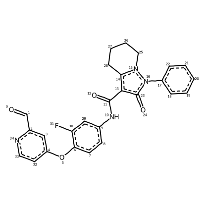 O=Cc1cc(Oc2ccc(NC(=O)c3c4n(n(-c5ccccc5)c3=O)CCCC4)cc2F)ccn1